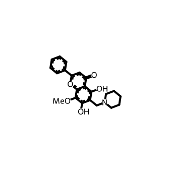 COc1c(O)c(CN2CCCCC2)c(O)c2c(=O)cc(-c3ccccc3)oc12